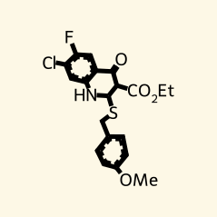 CCOC(=O)C1C(=O)c2cc(F)c(Cl)cc2NC1SCc1ccc(OC)cc1